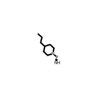 CCCC1CCN(P=N)CC1